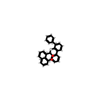 C1=CC(Oc2c(-c3ccccc3)cccc2-c2ccccc2)c2cccc3cccc1c23